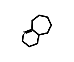 C1CCC2=NCCCC2CC1